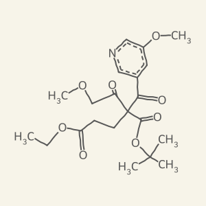 CCOC(=O)CCC(C(=O)COC)(C(=O)OC(C)(C)C)C(=O)c1cncc(OC)c1